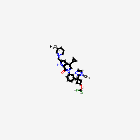 C[C@H]1CCCN(Cc2cc3c(C4CC4)cn(-c4cccc(C5(c6nccn6C)CC(OC(F)F)C5)c4)c(=O)c3[nH]2)C1